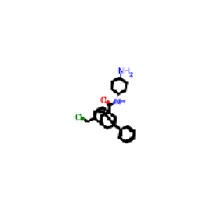 N[C@H]1CC[C@H](NC(=O)C23CC4CC(c5ccccc5)(CC(C2)C4CCl)C3)CC1